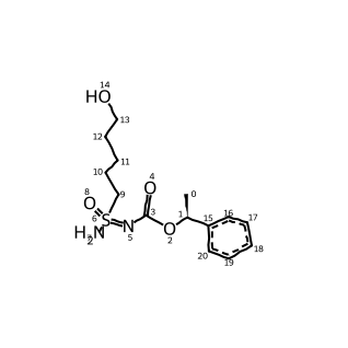 C[C@H](OC(=O)N=S(N)(=O)CCCCCO)c1ccccc1